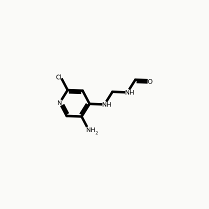 Nc1cnc(Cl)cc1NCNC=O